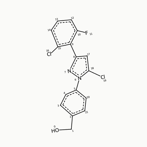 OCc1ccc(-n2nc(-c3c(F)cccc3Cl)cc2Cl)cc1